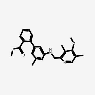 COC(=O)c1ccccc1-c1cc(C)cc(NCc2ncc(C)c(OC)c2C)c1